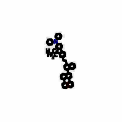 CC1(C)c2cc(/C=C/c3ccc(-c4ccc(-c5ccccc5)c5c(-c6ccccc6)cccc45)c4ccccc34)ccc2-c2ccc(N(C3=CCCC=C3)c3ccccc3)cc21